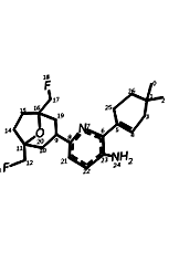 CC1(C)CC=C(c2nc(C3CC4(CF)CCC(CF)(C3)O4)ccc2N)CC1